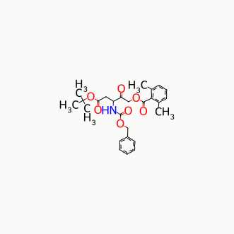 Cc1cccc(C)c1C(=O)OCC(=O)C(CC(=O)OC(C)(C)C)NC(=O)OCc1ccccc1